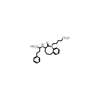 O=C(O)CCCCN1C(=O)C(NC(CCc2ccccc2)C(=O)O)CCCc2ccccc21